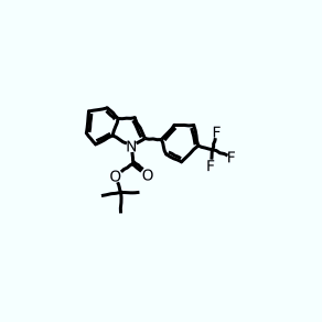 CC(C)(C)OC(=O)n1c(-c2ccc(C(F)(F)F)cc2)cc2ccccc21